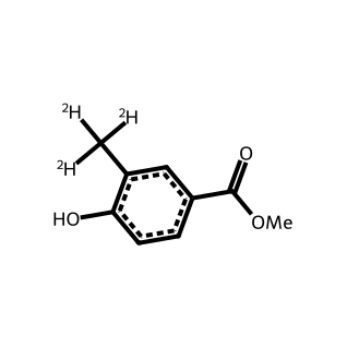 [2H]C([2H])([2H])c1cc(C(=O)OC)ccc1O